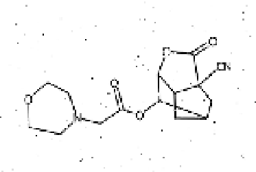 N#CC12CC3CC1C(OC2=O)C3OC(=O)CN1CCOCC1